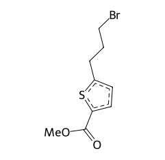 COC(=O)c1ccc(CCCBr)s1